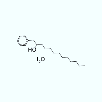 CCCCCCCCCCCC(O)Cc1ccccc1.O